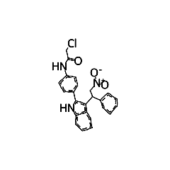 O=C(CCl)Nc1ccc(-c2[nH]c3ccccc3c2C(C[N+](=O)[O-])c2ccccc2)cc1